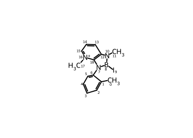 Cc1ccccc1N1B(I)N(C)c2ccc[n+](C)c21